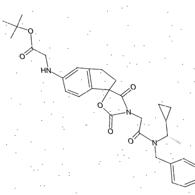 C[C@@H](C1CC1)N(Cc1ccccc1)C(=O)CN1C(=O)OC2(CCc3cc(NCC(=O)OC(C)(C)C)ccc32)C1=O